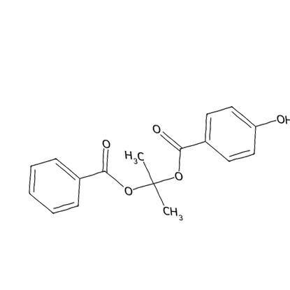 CC(C)(OC(=O)c1ccccc1)OC(=O)c1ccc(O)cc1